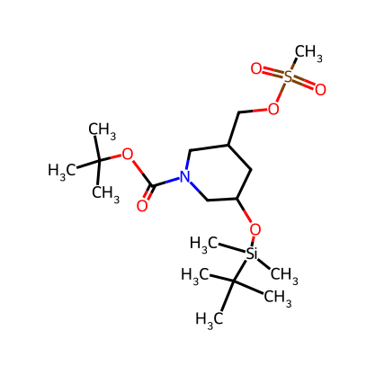 CC(C)(C)OC(=O)N1CC(COS(C)(=O)=O)CC(O[Si](C)(C)C(C)(C)C)C1